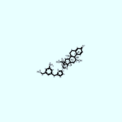 C[C@]12C=CC(=O)C=C1CC[C@@H]1[C@@H]2[C@@H](O)C[C@@]2(C)[C@H]1C[C@H]1O[C@@H](c3ccc(Cc4cc(N)cc(CO)c4)s3)O[C@]12C(=O)CO